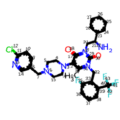 Cc1c(N2CCN(Cc3ccc(Cl)nc3)CC2)c(=O)n(CC(N)c2ccccc2)c(=O)n1Cc1c(F)cccc1C(F)(F)F